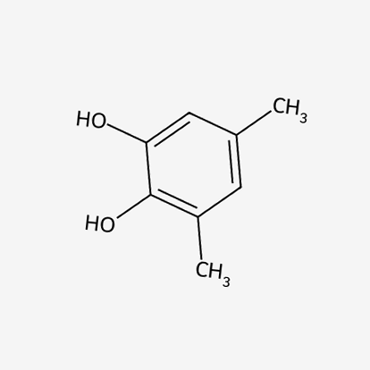 Cc1cc(C)c(O)c(O)c1